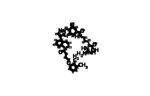 Cc1cccc(OCCCC(=O)N2CCCc3c(-c4cnn(Cc5c(F)cc(C(=O)NCCC[C@H](NC(=N)N)C(=O)O)cc5Cl)c4)cccc32)c1C